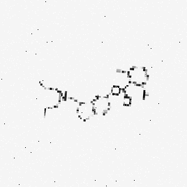 CCCN(CCC)CC1CCc2ccc(OC(=O)c3c(F)cccc3F)cc21